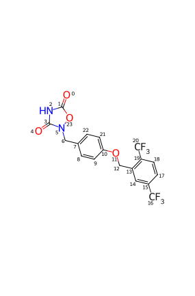 O=c1[nH]c(=O)n(Cc2ccc(OCc3cc(C(F)(F)F)ccc3C(F)(F)F)cc2)o1